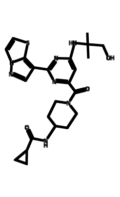 CC(C)(CO)Nc1cc(C(=O)N2CCC(NC(=O)C3CC3)CC2)nc(-c2cnn3ccsc23)n1